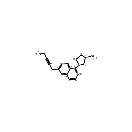 NCC#CCc1ccc2c(N3CC[C@@H](N)C3)nccc2c1